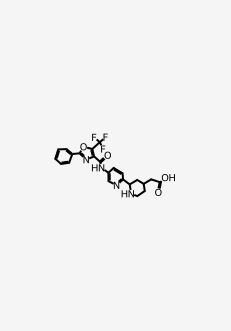 O=C(O)CC1CCNC(c2ccc(NC(=O)c3nc(-c4ccccc4)oc3C(F)(F)F)cn2)C1